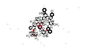 CC(=O)N[C@H](Cc1ccc2ccccc2c1)C(=O)N[C@H](Cc1ccc(Cl)cc1)C(=O)N[C@H](Cc1c[nH]c2ccccc12)C(=O)N[C@@H](CO)C(=O)N[C@@H](Cc1ccc(O)cc1)C(=O)N[C@H](CO[C@@H]1O[C@@H](C)[C@H](O)[C@@H](O)[C@H]1O)C(=O)N[C@@H](CC(C)C)C(=O)N[C@@H](CCCNC(=N)N)C(=O)N1CCC[C@H]1C(=O)NNC(N)=O